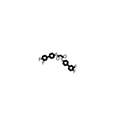 O=C(CC(=O)Sc1ccc(-c2ccc(F)c(F)c2)cc1)Sc1ccc(-c2ccc(F)c(F)c2)cc1